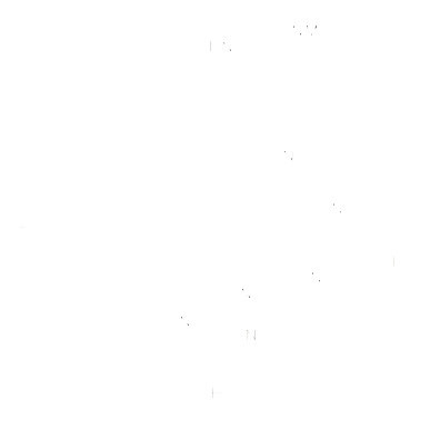 CNC(=N)C1CN(c2cc(-n3nc(C)nc3Cc3ccc(F)cc3)nc(C)n2)C1